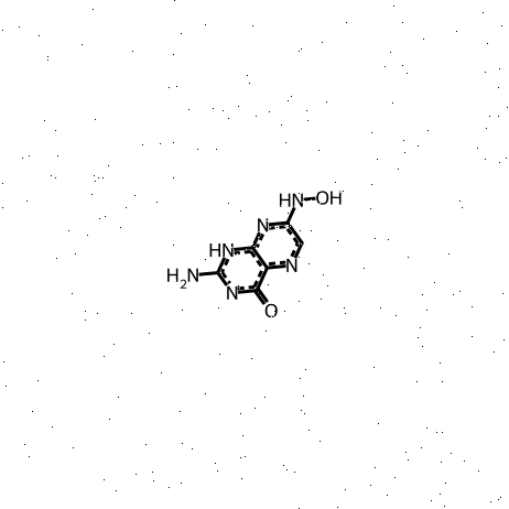 Nc1nc(=O)c2ncc(NO)nc2[nH]1